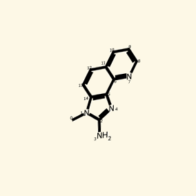 Cn1c(N)nc2c3ncccc3ccc21